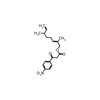 C=CC(C)CCC=C(C)COC(=O)CC(=O)c1ccc([N+](=O)[O-])cc1